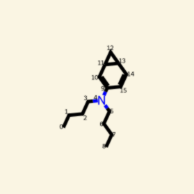 CCCCN(CCCC)C1=CC2CC2C=C1